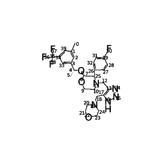 Cc1cc([C@@H](C)OC2OCCN(Cc3nn[nH]c3CN3CCOCC3)C2c2ccc(F)cc2)cc(C(F)(F)F)c1